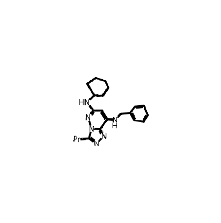 CC(C)c1nnc2c(NCc3ccccc3)cc(NC3CCCCC3)nn12